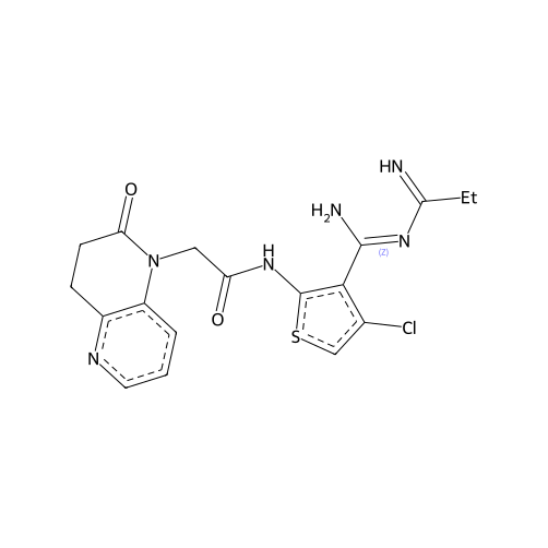 CCC(=N)/N=C(\N)c1c(Cl)csc1NC(=O)CN1C(=O)CCc2ncccc21